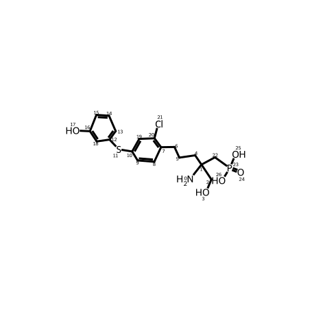 NC(CO)(CCCc1ccc(Sc2cccc(O)c2)cc1Cl)CP(=O)(O)O